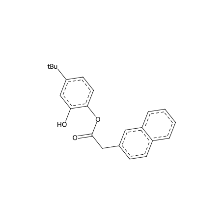 CC(C)(C)c1ccc(OC(=O)Cc2ccc3ccccc3c2)c(O)c1